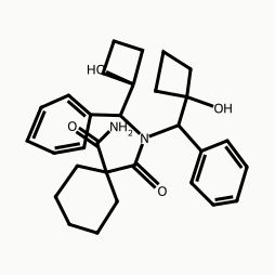 NC(=O)C1(C(=O)N(C(c2ccccc2)C2(O)CCC2)C(c2ccccc2)C2(O)CCC2)CCCCC1